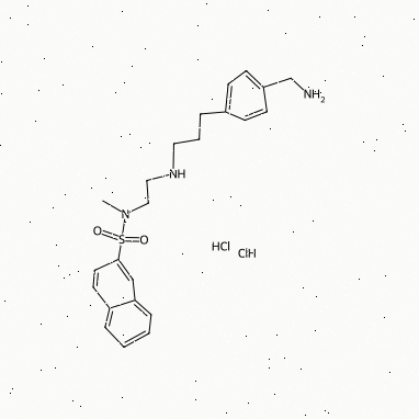 CN(CCNCCCc1ccc(CN)cc1)S(=O)(=O)c1ccc2ccccc2c1.Cl.Cl